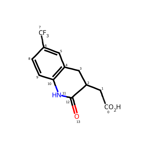 O=C(O)CC1Cc2cc(C(F)(F)F)ccc2NC1=O